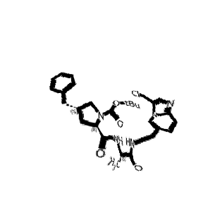 C[C@H](NC(=O)[C@H]1C[C@H](Cc2ccccc2)CN1C(=O)OC(C)(C)C)C(=O)NCc1ccc2ncc(Cl)n2c1